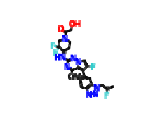 COc1nc(N[C@@H]2CCN(C(=O)CO)CC2(F)F)nn2cc(F)c(-c3ccc4nnn(C[C@@H](C)F)c4c3)c12